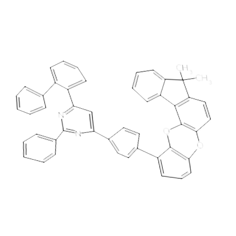 CC1(C)c2ccccc2-c2c1ccc1c2Oc2c(cccc2-c2ccc(-c3cc(-c4ccccc4-c4ccccc4)nc(-c4ccccc4)n3)cc2)O1